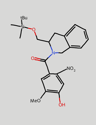 COc1cc(C(=O)N2Cc3ccccc3CC2CO[Si](C)(C)C(C)(C)C)c([N+](=O)[O-])cc1O